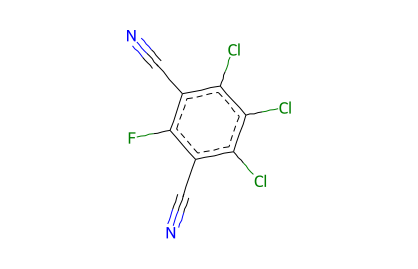 N#Cc1c(F)c(C#N)c(Cl)c(Cl)c1Cl